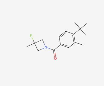 Cc1cc(C(=O)N2CC(C)(F)C2)ccc1C(C)(C)C